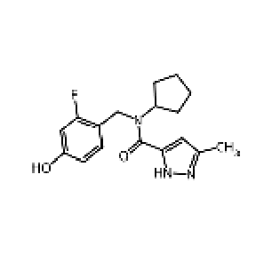 Cc1cc(C(=O)N(Cc2ccc(O)cc2F)C2CCCC2)[nH]n1